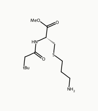 COC(=O)[C@H](CSCCCN)NC(=O)CC(C)(C)C